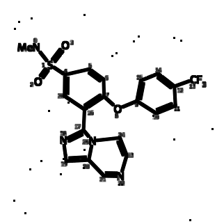 CNS(=O)(=O)c1ccc(Oc2ccc(C(F)(F)F)cc2)c(-c2ncc3cnccn23)c1